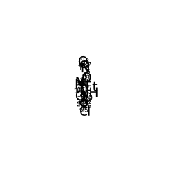 CCn1c(OCCN2CCOCC2)nnc1[C@@H](C)NS(=O)(=O)c1ccc(Cl)cc1